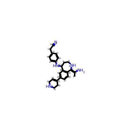 C/C(N)=C1/NCCC(Nc2ccc(CC#N)cc2)c2cc(C3=CCNCC3)ccc21